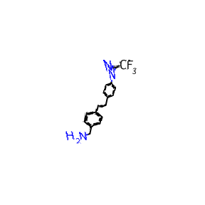 NCc1ccc(C=Cc2ccc(N3N=C3C(F)(F)F)cc2)cc1